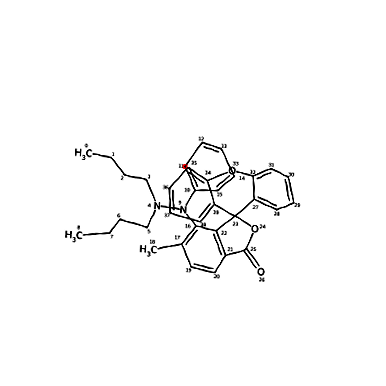 CCCCN(CCCC)N(c1ccccc1)c1c(C)ccc2c1C1(OC2=O)c2ccccc2Oc2ccccc21